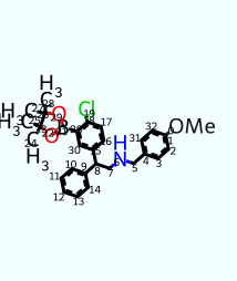 COc1ccc(CNCC(c2ccccc2)c2ccc(Cl)c(B3OC(C)(C)C(C)(C)O3)c2)cc1